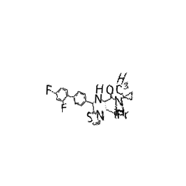 CC(C)C[C@H](N[C@@H](c1ccc(-c2ccc(F)cc2F)cc1)c1nccs1)C(=O)NC1(C)CC1